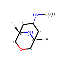 O=C(O)N[C@H]1C[C@H]2COC[C@@H](C1)N2